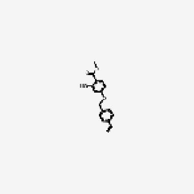 C=Cc1ccc(COc2ccc(C(=O)OC)c(O)c2)cc1